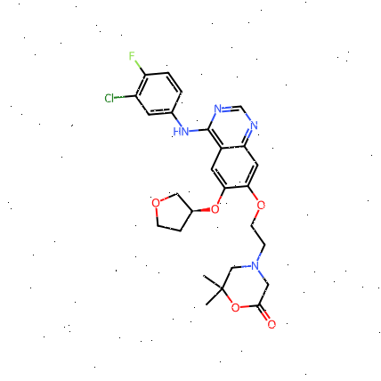 CC1(C)CN(CCOc2cc3ncnc(Nc4ccc(F)c(Cl)c4)c3cc2O[C@H]2CCOC2)CC(=O)O1